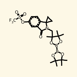 CC1(C)OB(B2OC(C)(C)C(C)(CN3C(=O)c4cc(OS(=O)(=O)C(F)(F)F)ccc4C34CC4)O2)OC1(C)C